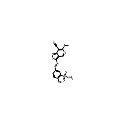 CSc1ncc2c(/N=N/c3ccc(O)c(S(N)(=O)=O)c3)snc2c1C#N